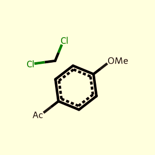 COc1ccc(C(C)=O)cc1.ClCCl